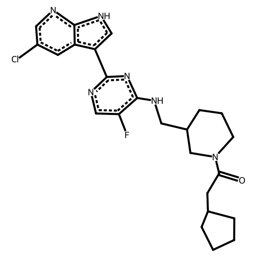 O=C(CC1CCCC1)N1CCCC(CNc2nc(-c3c[nH]c4ncc(Cl)cc34)ncc2F)C1